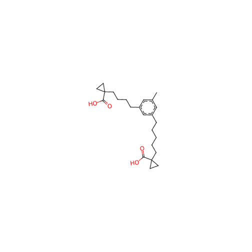 Cc1cc(CCCCCC2(C(=O)O)CC2)cc(CCCCC2(C(=O)O)CC2)c1